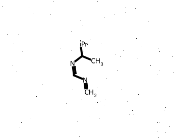 C=N/C=N\C(C)C(C)C